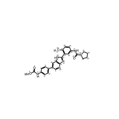 COC(=O)Nc1ccc(-c2cnc3nc(-c4cc(NC(=O)N5CCCC5)ccc4C)[nH]c3c2)cc1